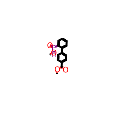 COC(=O)c1ccc(-c2ccccc2[PH](=O)OC)cc1